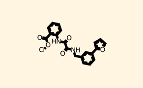 O=C(NCc1cccc(-c2ccco2)c1)C(=O)Nc1ccccc1C(=O)OCl